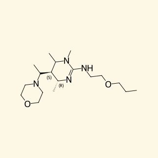 CCCOCCNC1=N[C@H](C)[C@@H](C(C)N2CCOCC2)C(C)N1C